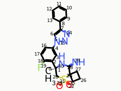 C[C@@]1(c2cc(-n3cc(-c4ccccc4)nn3)ccc2F)CS(=O)(=O)C2(CCC2)C(=N)N1